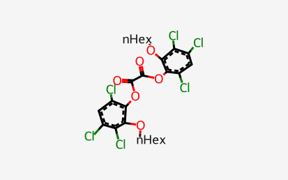 CCCCCCOc1c(Cl)c(Cl)cc(Cl)c1OC(=O)C(=O)Oc1c(Cl)cc(Cl)c(Cl)c1OCCCCCC